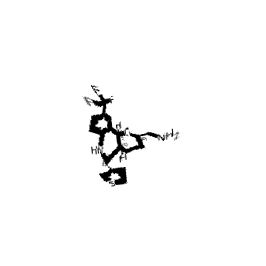 NC[C@H]1CC[C@@H]2[C@H](O1)c1cc(C(F)(F)F)ccc1N[C@H]2c1ccsc1